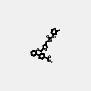 Cc1cc(NC(=O)NCC2=NOC(COc3ccccc3-c3ccc(C(N)=O)cc3)C2)ccn1